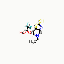 CCN1C=Cc2sc(S)nc2C1.O=C(O)C(F)(F)F